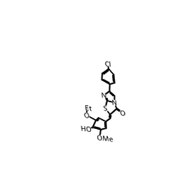 CCOc1cc(/C=c2\sc3nc(-c4ccc(Cl)cc4)cn3c2=O)cc(OC)c1O